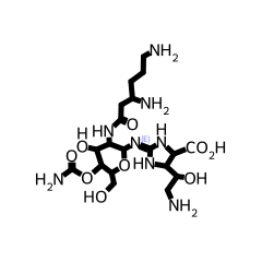 NCCCC(N)CC(=O)NC1C(/N=C2/NC(C(=O)O)C(C(O)CN)N2)OC(CO)C(OC(N)=O)C1O